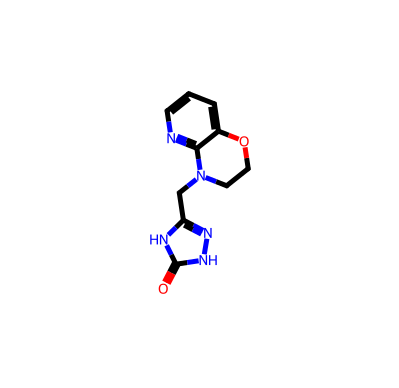 O=c1[nH]nc(CN2CCOc3cccnc32)[nH]1